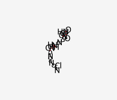 N#Cc1ccc(N2CCC3(CCN(c4ccc(C(=O)N5C[C@H]6C[C@@H]5CN6C5CCN(c6ccc7c(c6)C(=O)N(C6CCC(=O)NC6=O)C7=O)CC5)cc4)CC3)C2)cc1Cl